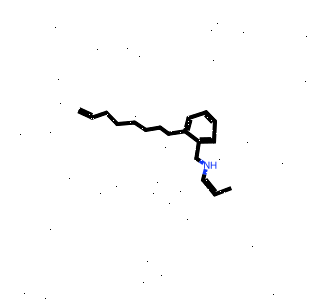 C=CCCCCCCc1ccccc1CN/C=C\C